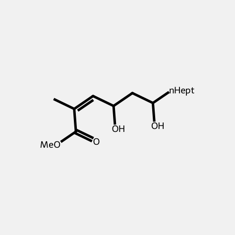 CCCCCCCC(O)CC(O)C=C(C)C(=O)OC